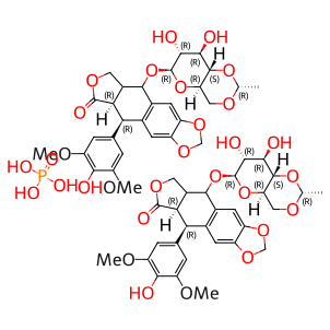 COc1cc([C@@H]2c3cc4c(cc3C(O[C@@H]3O[C@@H]5CO[C@@H](C)O[C@H]5[C@H](O)[C@H]3O)C3COC(=O)[C@@H]32)OCO4)cc(OC)c1O.COc1cc([C@@H]2c3cc4c(cc3C(O[C@@H]3O[C@@H]5CO[C@@H](C)O[C@H]5[C@H](O)[C@H]3O)C3COC(=O)[C@@H]32)OCO4)cc(OC)c1O.O=P(O)(O)O